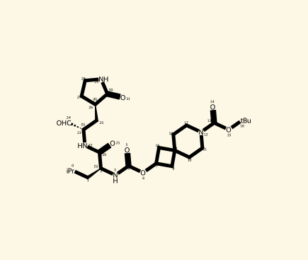 CC(C)C[C@H](NC(=O)OC1CC2(CCN(C(=O)OC(C)(C)C)CC2)C1)C(=O)N[C@H](C=O)C[C@H]1CCNC1=O